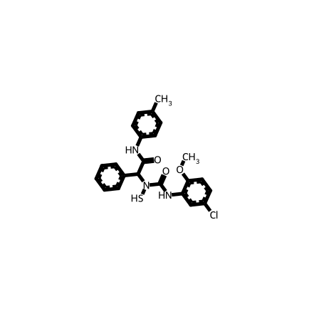 COc1ccc(Cl)cc1NC(=O)N(S)C(C(=O)Nc1ccc(C)cc1)c1ccccc1